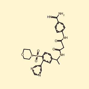 CC(NC(=O)CC(=O)Nc1ccc(C(=N)N)cc1)c1ccc(S(=O)(=O)N2CCOCC2)c(-c2cncnc2)c1